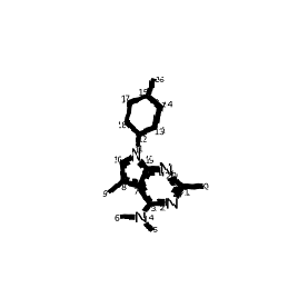 Cc1nc(N(C)C)c2c(C)cn(C3CCC(C)CC3)c2n1